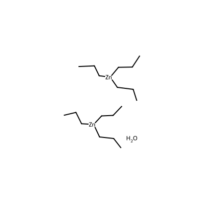 CC[CH2][Zn]([CH2]CC)[CH2]CC.CC[CH2][Zn]([CH2]CC)[CH2]CC.O